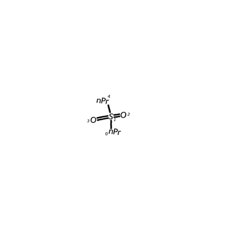 [CH2]CCS(=O)(=O)CCC